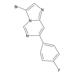 Fc1ccc(-c2cc3ncc(Br)n3cn2)cc1